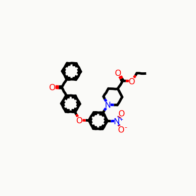 CCOC(=O)C1CCN(c2cc(Oc3ccc(C(=O)c4ccccc4)cc3)ccc2[N+](=O)[O-])CC1